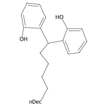 CCCCCCCCCCCCCCC(c1ccccc1O)c1ccccc1O